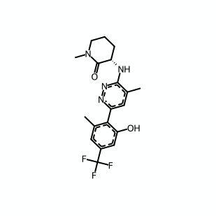 Cc1cc(-c2c(C)cc(C(F)(F)F)cc2O)nnc1N[C@H]1CCCN(C)C1=O